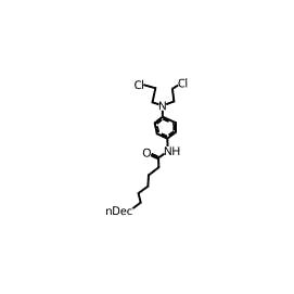 CCCCCCCCCCCCCCCC(=O)Nc1ccc(N(CCCl)CCCl)cc1